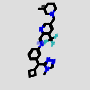 C[C@H]1CCCN(Cc2cnc(/C=N/c3cccc(C(c4nncn4C)C4CCC4)c3)c(C(F)(F)F)c2)C1